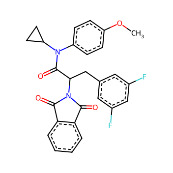 COc1ccc(N(C(=O)C(Cc2cc(F)cc(F)c2)N2C(=O)c3ccccc3C2=O)C2CC2)cc1